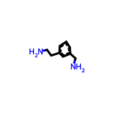 NCCc1cccc(CN)c1